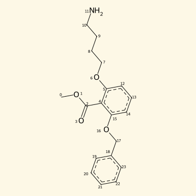 COC(=O)c1c(OCCCCN)cccc1OCc1ccccc1